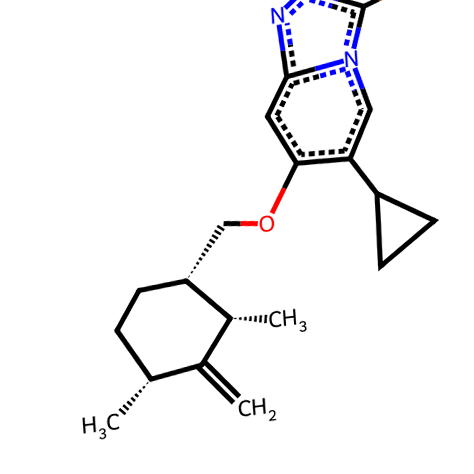 C=C1[C@H](C)CC[C@H](COc2cc3nnc(Br)n3cc2C2CC2)[C@@H]1C